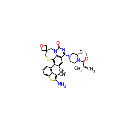 C=CC(=O)N1[C@H](C)CN(c2nc(=O)n3c4c(c(-c5cccc6sc(N)c(C#N)c56)c(C(F)(F)F)cc24)SCC2(COC2)C3)C[C@@H]1C